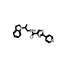 CC(CNC(=O)c1csc(-c2ccncc2)n1)N1CCc2ccccc21